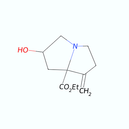 C=C1CCN2CC(O)CC12C(=O)OCC